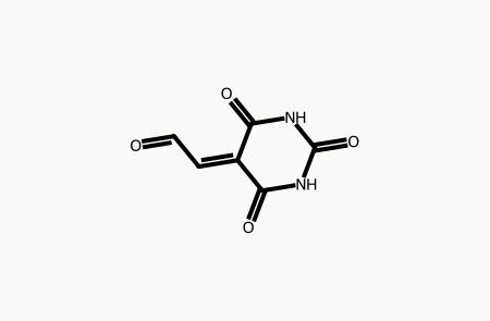 O=CC=C1C(=O)NC(=O)NC1=O